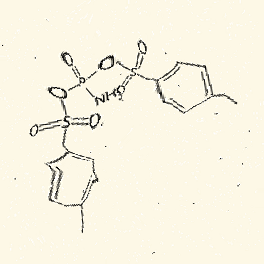 Cc1ccc(S(=O)(=O)OP(N)(=O)OS(=O)(=O)c2ccc(C)cc2)cc1